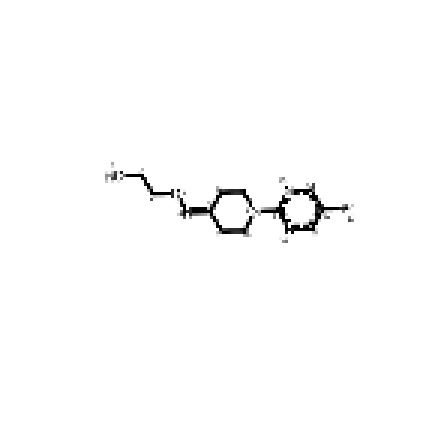 OCCON=C1CCN(c2ncc(Br)cn2)CC1